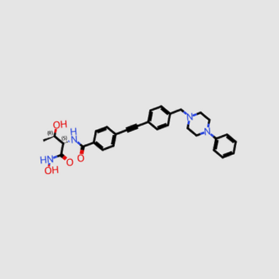 C[C@@H](O)[C@H](NC(=O)c1ccc(C#Cc2ccc(CN3CCN(c4ccccc4)CC3)cc2)cc1)C(=O)NO